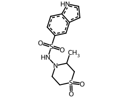 CC1CS(=O)(=O)CCN1NS(=O)(=O)c1ccc2[nH]ccc2c1